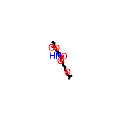 C=CC(=O)OCCNC(=O)OCCCCOCC(C)C